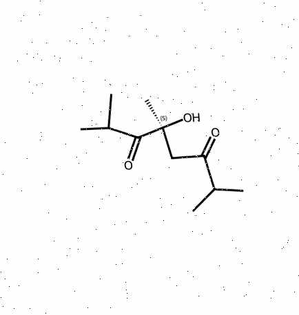 CC(C)C(=O)C[C@](C)(O)C(=O)C(C)C